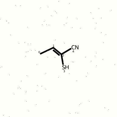 CC=C(S)C#N